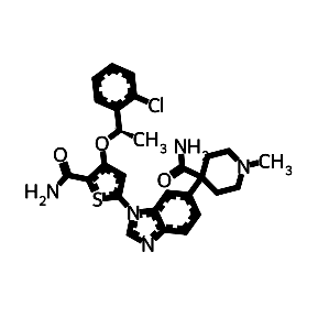 C[C@@H](Oc1cc(-n2cnc3ccc(C4(C(N)=O)CCN(C)CC4)cc32)sc1C(N)=O)c1ccccc1Cl